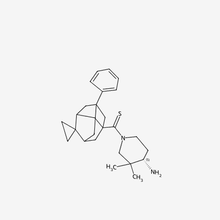 CC1(C)CN(C(=S)C23CC4CC(c5ccccc5)(CC(C2)C42CC2)C3)CC[C@@H]1N